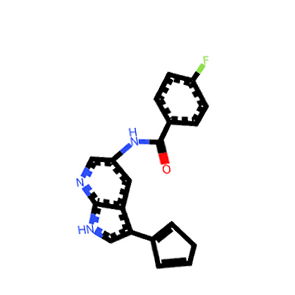 O=C(Nc1cnc2[nH]cc(C3=CCC=C3)c2c1)c1ccc(F)cc1